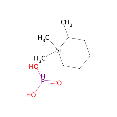 CC1CCCC[Si]1(C)C.O=[PH](O)O